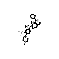 CN1CCN(c2ccc(Nc3ncc(F)c(NC4CCCC4)n3)cc2C(F)(F)F)CC1